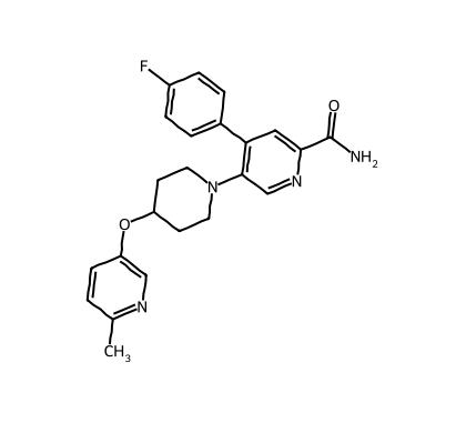 Cc1ccc(OC2CCN(c3cnc(C(N)=O)cc3-c3ccc(F)cc3)CC2)cn1